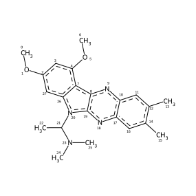 COc1cc(OC)c2c3nc4cc(C)c(C)cc4nc3n(C(C)N(C)C)c2c1